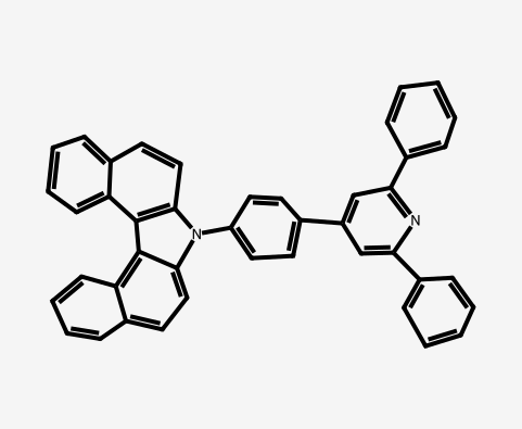 c1ccc(-c2cc(-c3ccc(-n4c5ccc6ccccc6c5c5c6ccccc6ccc54)cc3)cc(-c3ccccc3)n2)cc1